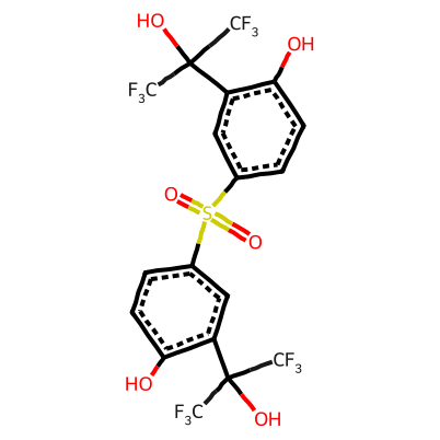 O=S(=O)(c1ccc(O)c(C(O)(C(F)(F)F)C(F)(F)F)c1)c1ccc(O)c(C(O)(C(F)(F)F)C(F)(F)F)c1